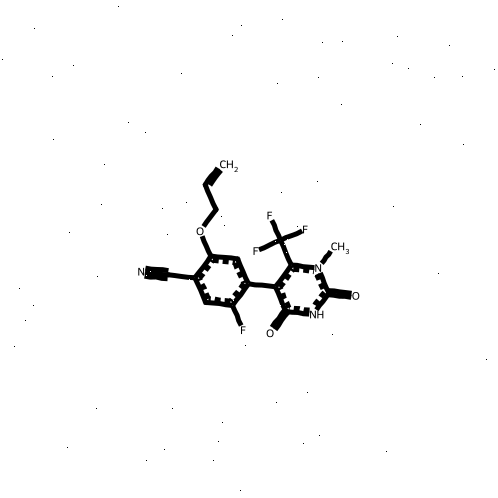 C=CCOc1cc(-c2c(C(F)(F)F)n(C)c(=O)[nH]c2=O)c(F)cc1C#N